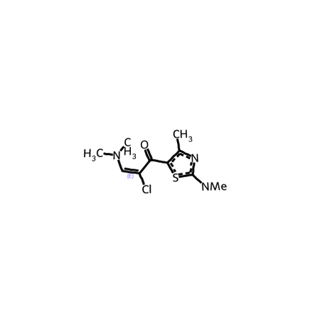 CNc1nc(C)c(C(=O)/C(Cl)=C\N(C)C)s1